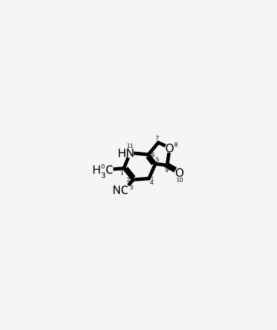 CC1=C(C#N)[C]C2=C(COC2=O)N1